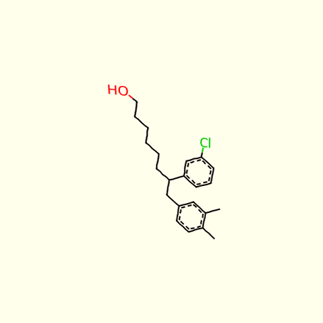 Cc1ccc(CC(CCCCCCO)c2cccc(Cl)c2)cc1C